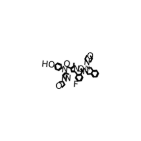 Cc1c(C(=O)N(c2ccc(O)cc2)c2cnn(C3CCOC3)c2)cc(-c2cc(F)ccc2C(=O)N2Cc3ccccc3C[C@H]2CN2CCOCC2)n1C